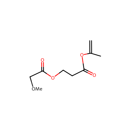 C=C(C)OC(=O)CCOC(=O)COC